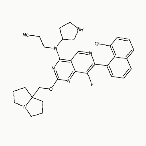 N#CCCN(c1nc(OCC23CCCN2CCC3)nc2c(F)c(-c3cccc4cccc(Cl)c34)ncc12)C1CCNC1